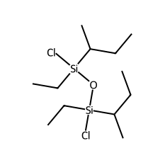 CCC(C)[Si](Cl)(CC)O[Si](Cl)(CC)C(C)CC